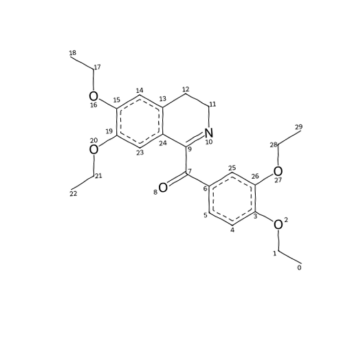 CCOc1ccc(C(=O)C2=NCCc3cc(OCC)c(OCC)cc32)cc1OCC